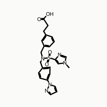 Cn1cnc(S(=O)(=O)N(Cc2ccc(-n3cccn3)cc2)Cc2cccc(CCC(=O)O)c2)c1